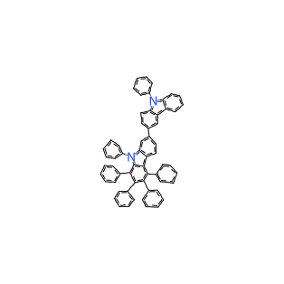 c1ccc(-c2c(-c3ccccc3)c(-c3ccccc3)c3c(c2-c2ccccc2)c2ccc(-c4ccc5c(c4)c4ccccc4n5-c4ccccc4)cc2n3-c2ccccc2)cc1